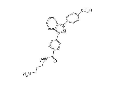 NCCCNC(=O)c1ccc(-c2nn(-c3ccc(C(=O)O)cc3)c3ccccc23)cc1